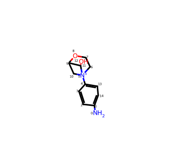 Nc1ccc([N+]23CCOC(C2)C3O)cc1